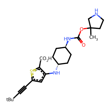 CC(C)(C)C#Cc1cc(N[C@H]2CC[C@H](NC(=O)OC3(C)CCNC3)CC2)c(C(=O)O)s1